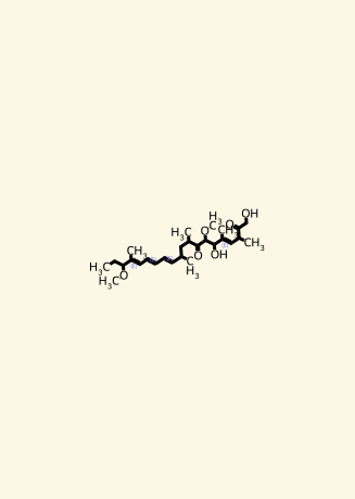 CCC(OC)/C(C)=C/C=C/C=C/C(C)CC(C)C(=O)C(OC)C(O)/C(C)=C/C(C)C(=O)CO